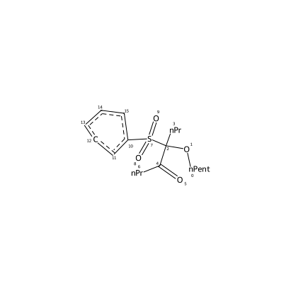 CCCCCOC(CCC)(C(=O)CCC)S(=O)(=O)c1ccccc1